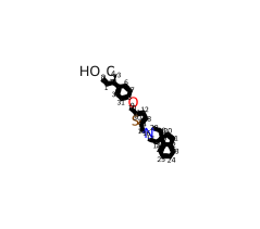 C=C[C@@H](CC(=O)O)c1ccc(OCc2ccc(CN3CCC4(C=Cc5ccccc54)CC3)s2)cc1